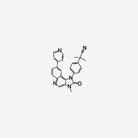 Cn1c(=O)n(-c2ccc(C(C)(C)C#N)cc2)c2c3cc(-c4ccncc4)ccc3ncc21